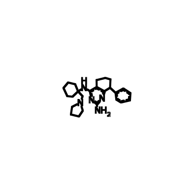 Nc1nc(NC2(CN3CCCC3)CCCCC2)c2c(n1)C(c1ccccc1)CCC2